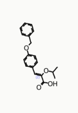 CC(C)O/C(=C\c1ccc(OCc2ccccc2)cc1)C(=O)O